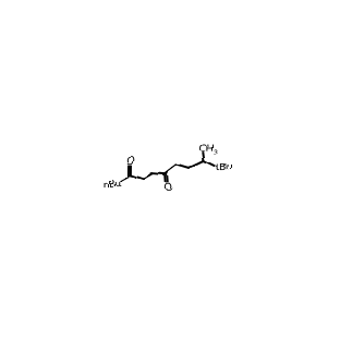 CCCCC(=O)CCC(=O)CCC(C)C(C)(C)C